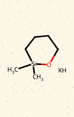 C[Si]1(C)CCCCO1.[KH]